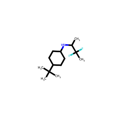 CC(NC1CCC(C(C)(C)C)CC1)C(C)(F)F